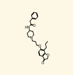 CCCc1c(OCCCN2CCC(NC(=O)Cc3ccccc3)CC2)ccc2c1OCC2=O